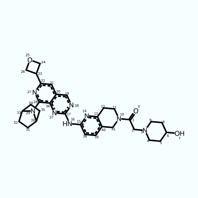 O=C(CN1CCC(O)CC1)N1CCc2nc(Nc3ncc4cc(C5COC5)nc(N5C6CCC5CC6)c4n3)ccc2C1